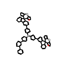 C1=CC2=C(CC1)c1cc(-c3ccc(N(c4ccc(-c5cccc(-c6ccccc6)c5)cc4)c4ccc(-c5ccc6c(c5)-c5ccccc5C65c6ccccc6Oc6ccccc65)cc4)cc3)ccc1C21c2ccccc2Oc2ccccc21